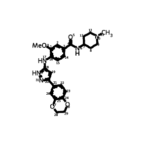 COc1cc(C(=O)NC2CCN(C)CC2)ccc1Nc1cc(-c2ccc3c(c2)OCCO3)n[nH]1